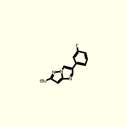 CC(C)(C)c1cc2ncc(-c3cccc(F)c3)cn2n1